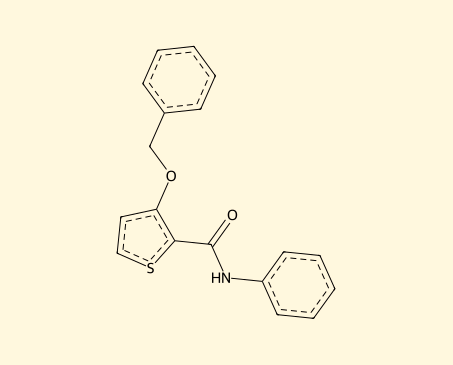 O=C(Nc1ccccc1)c1sccc1OCc1ccccc1